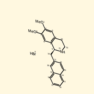 Br.COc1cc2c(cc1OC)[C@H](Cc1ccc3ccccc3c1)NCC2